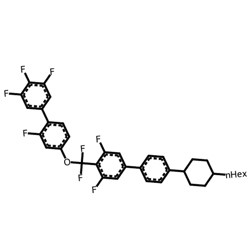 CCCCCCC1CCC(c2ccc(-c3cc(F)c(C(F)(F)Oc4ccc(-c5cc(F)c(F)c(F)c5)c(F)c4)c(F)c3)cc2)CC1